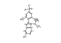 Cc1cc(C(F)(F)F)cc(O)c1-c1nc2nc(Cl)ccc2n1C(C)C